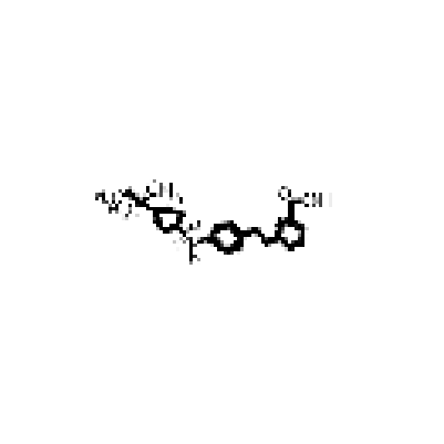 CCC(C)(C)c1ccc(S(=O)(=O)Nc2ccc(CCc3cccc(C(=O)O)c3)cc2)cc1